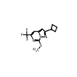 CSc1nc(C(F)(F)F)cc2cc(C3CCC3)nn12